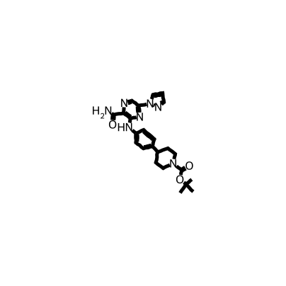 CC(C)(C)OC(=O)N1CCC(c2ccc(Nc3nc(-n4cccn4)cnc3C(N)=O)cc2)CC1